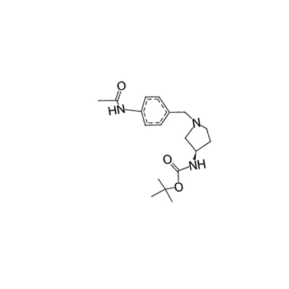 CC(=O)Nc1ccc(CN2CC[C@@H](NC(=O)OC(C)(C)C)C2)cc1